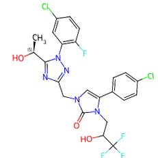 C[C@H](O)c1nc(Cn2cc(-c3ccc(Cl)cc3)n(CC(O)C(F)(F)F)c2=O)nn1-c1cc(Cl)ccc1F